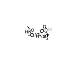 CC#CC(=O)Nc1cc(-n2cc(-c3ccc4c(c3)C3(CNC4=O)CC(F)(F)C3)c([N+](=O)[O-])n2)ccc1C